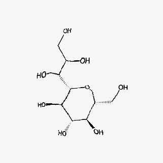 OCC(O)C(O)[C@@H]1O[C@H](CO)[C@@H](O)[C@H](O)[C@H]1O